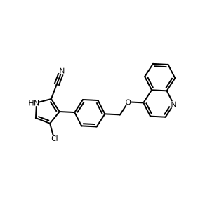 N#Cc1[nH]cc(Cl)c1-c1ccc(COc2ccnc3ccccc23)cc1